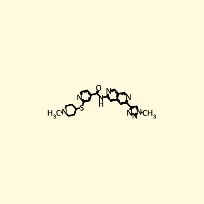 CN1CCC(Sc2cc(C(=O)Nc3cc4cc(-c5cn(C)nn5)ncc4cn3)ccn2)CC1